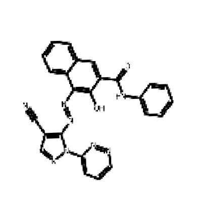 N#Cc1cnn(-c2cccnn2)c1/N=N/c1c(O)c(C(=O)Nc2ccccc2)cc2ccccc12